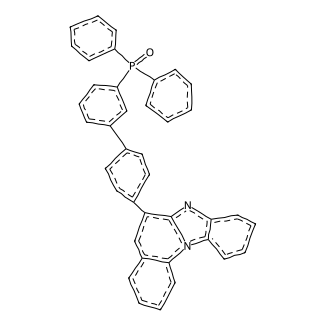 O=P(c1ccccc1)(c1ccccc1)c1cccc(-c2ccc(-c3cc4ccccc4n4c3nc3ccccc34)cc2)c1